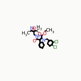 CCOC(=O)c1c(C(=O)NCc2c(C)noc2C)c2ccccc2n1Cc1ccc(Cl)c(Cl)c1